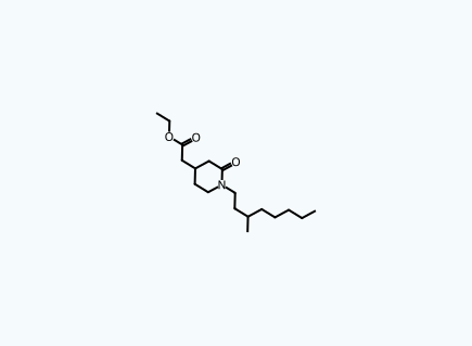 CCCCCC(C)CCN1CCC(CC(=O)OCC)CC1=O